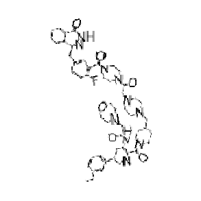 CCc1cccc(-c2cnc(C(=O)N3CCC(CN4CCN(CC(=O)N5CCN(C(=O)c6cc(Cc7n[nH]c(=O)c8ccccc78)ccc6F)CC5)CC4)CC3)c(NC(=O)CN3CCOCC3)c2)c1